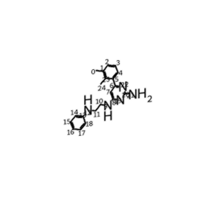 Cc1cccc(-c2cc(NCCNc3ccccc3)nc(N)n2)c1C